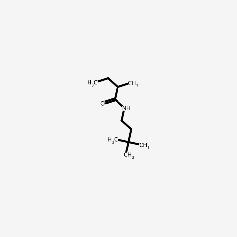 CCC(C)C(=O)NCCC(C)(C)C